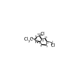 ClCc1ccc2nc(C(Cl)(Cl)Cl)cc(Cl)c2c1